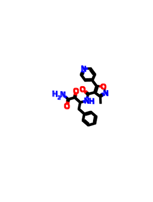 Cc1noc(-c2ccncc2)c1C(=O)NC(Cc1ccccc1)C(=O)C(N)=O